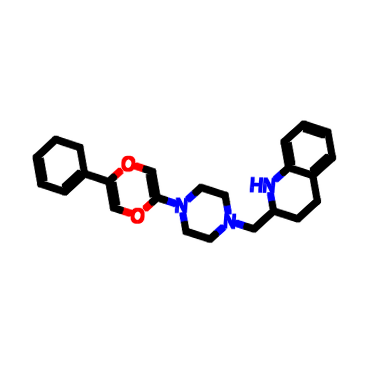 C1=CCCC(C2=COC(N3CCN(CC4CCc5ccccc5N4)CC3)=CO2)=C1